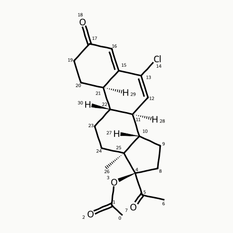 CC(=O)O[C@]1(C(C)=O)CC[C@H]2[C@@H]3C=C(Cl)C4=CC(=O)CC[C@@H]4[C@H]3CC[C@@]21C